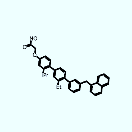 CCc1cc(-c2ccc(OCC(=O)N=O)cc2C(C)C)ccc1-c1cccc(Cc2cccc3ccccc23)c1